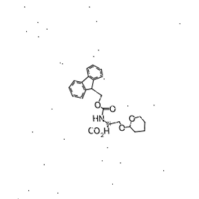 O=C(N[C@@H](COC1CCCCO1)C(=O)O)OCC1c2ccccc2-c2ccccc21